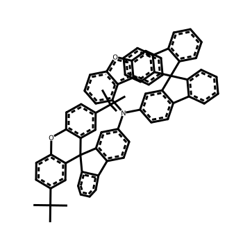 CC(C)(C)c1ccc2c(c1)C1(c3cc(C(C)(C)C)ccc3O2)c2ccccc2-c2ccc(N(c3ccc4c(c3)C3(c5ccccc5-c5ccccc53)c3ccccc3-4)c3cccc4oc5ccccc5c34)cc21